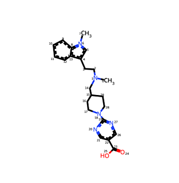 CN(CCc1cn(C)c2ccccc12)CC1CCN(c2ncc(C(=O)O)cn2)CC1